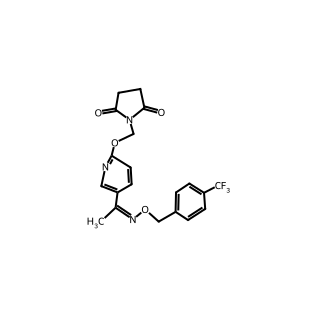 CC(=NOCc1ccc(C(F)(F)F)cc1)c1ccc(OCN2C(=O)CCC2=O)nc1